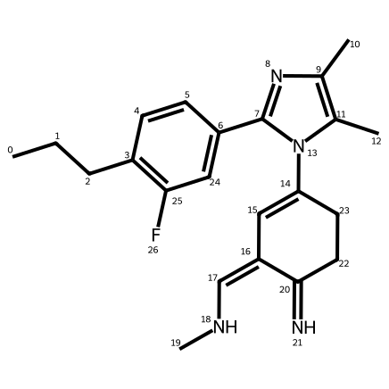 CCCc1ccc(-c2nc(C)c(C)n2C2=C/C(=C/NC)C(=N)CC2)cc1F